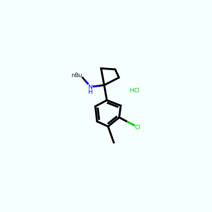 CCCCNC1(c2ccc(C)c(Cl)c2)CCC1.Cl